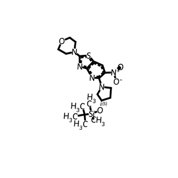 CC(C)(C)[Si](C)(C)O[C@H]1CCN(c2nc3nc(N4CCOCC4)sc3cc2[N+](=O)[O-])C1